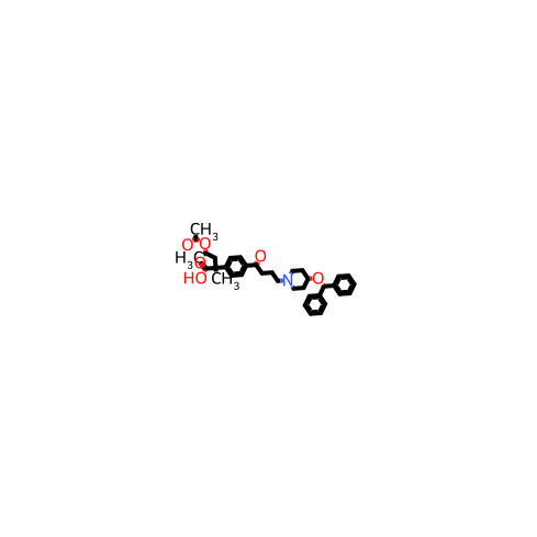 CC(=O)OC(C)CC(C)(C(=O)O)c1ccc(C(=O)CCCN2CCC(OC(c3ccccc3)c3ccccc3)CC2)cc1